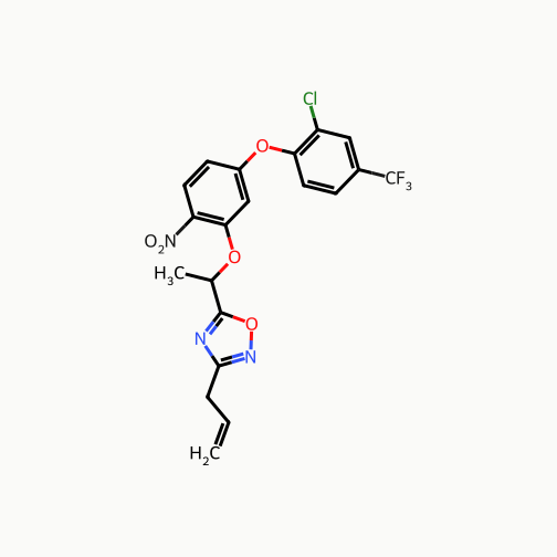 C=CCc1noc(C(C)Oc2cc(Oc3ccc(C(F)(F)F)cc3Cl)ccc2[N+](=O)[O-])n1